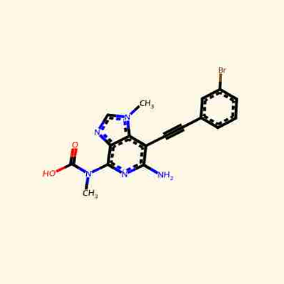 CN(C(=O)O)c1nc(N)c(C#Cc2cccc(Br)c2)c2c1ncn2C